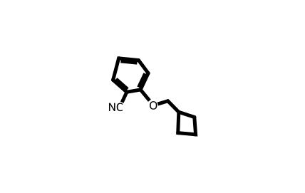 N#Cc1ccccc1OCC1CCC1